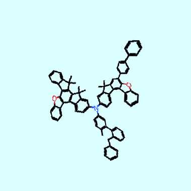 Cc1ccc(N(c2ccc3c(c2)C(C)(C)c2cc(-c4ccc(-c5ccccc5)cc4)c4oc5ccccc5c4c2-3)c2ccc3c(c2)C(C)(C)c2c4c(c5oc6ccccc6c5c2-3)-c2ccccc2C4(C)C)cc1-c1ccccc1Cc1ccccc1